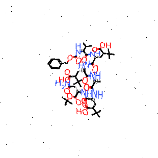 CC(C)[C@H](NC(=O)OCc1ccccc1)C(=O)N[C@@H](CC(C(=O)O)C(C)(C)C)C(=O)N[C@@H](CC(C(=O)O)C(C)(C)C)C(=O)N[C@@H](C)C(=O)N[C@@H](CC(C(=O)O)C(C)(C)C)C(=O)N[C@@H](CC(N)=O)C(=O)OC(C)(C)C